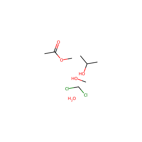 CC(C)O.CO.COC(C)=O.ClCCl.O